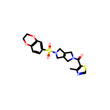 Cc1ncsc1C(=O)N1CC2=C(C1)CN(S(=O)(=O)c1ccc3c(c1)OCCO3)C2